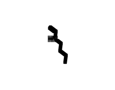 C=CNCCCC